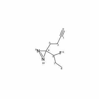 C#CCCC1(C(F)CC)N=N1